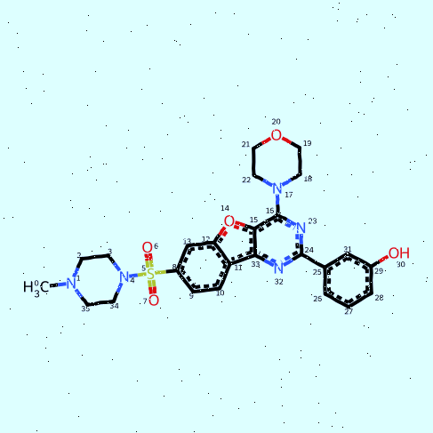 CN1CCN(S(=O)(=O)c2ccc3c(c2)oc2c(N4CCOCC4)nc(-c4cccc(O)c4)nc23)CC1